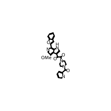 COc1cnc(-c2cc3ccccc3o2)c2[nH]cc(C(=O)C(=O)N3CCN(C(=O)c4ccccn4)CC3)c12